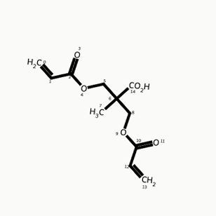 C=CC(=O)OCC(C)(COC(=O)C=C)C(=O)O